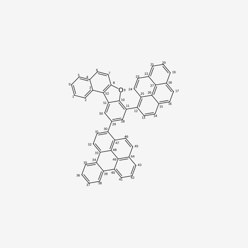 c1ccc2c(c1)ccc1oc3c(-c4ccc5ccc6cccc7ccc4c5c67)cc(-c4ccc5c6ccccc6c6cccc7ccc4c5c76)cc3c12